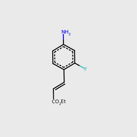 CCOC(=O)C=Cc1ccc(N)cc1F